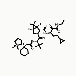 CCNC(=O)C(=O)C(CCC1CC1)NC(=O)[C@@H]1[C@@H]2[C@H](CN1C(=O)[C@@H](NC(=O)NC1([C@H]3CCCS3(=O)=O)CCCCC1)C(C)(C)C)C2(C)C